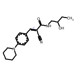 CCC(O)CNC(=O)/C(C#N)=C/c1ccc(N2CCCCC2)cc1